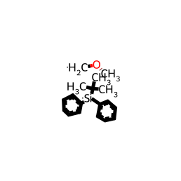 CC(C)(C)[Si](c1ccccc1)c1ccccc1.[CH2]OC